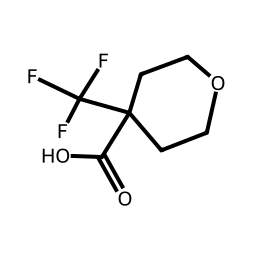 O=C(O)C1(C(F)(F)F)CCOCC1